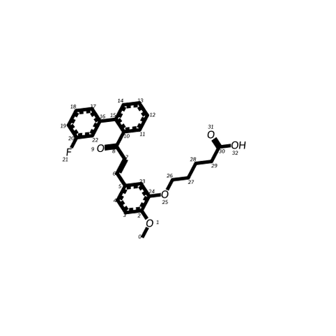 COc1ccc(C=CC(=O)c2ccccc2-c2cccc(F)c2)cc1OCCCCC(=O)O